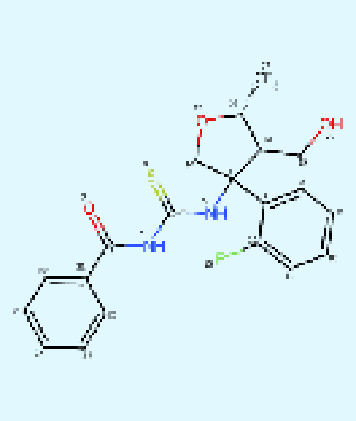 O=C(NC(=S)NC1(c2ccccc2F)CO[C@H](C(F)(F)F)C1CO)c1ccccc1